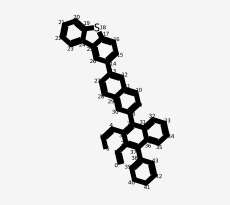 C=Cc1c(/C=C\C)c(-c2ccc3cc(-c4ccc5sc6ccccc6c5c4)ccc3c2)c2ccccc2c1C1=CCCC=C1